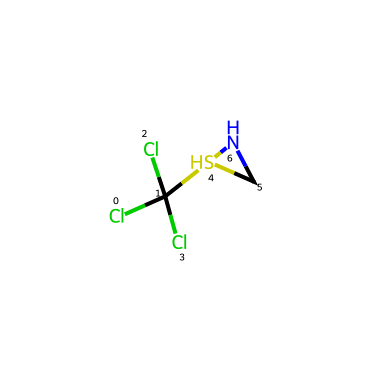 ClC(Cl)(Cl)[SH]1CN1